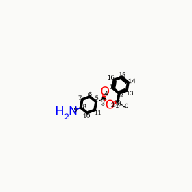 C[C@H](OC(=O)[C@H]1CC[C@H](N)CC1)c1ccccc1